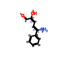 N/C(=C\C=C(\O)C=O)c1ccccc1